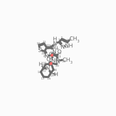 Cc1cc(Nc2nc(N[C@@H]3C[C@H]4CCC[C@@H](C3)N4C(=O)CN(C)C(=O)OC(C)(C)C)nc3sccc23)n[nH]1